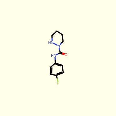 O=C(Nc1ccc(F)cc1)N1CCCCN1